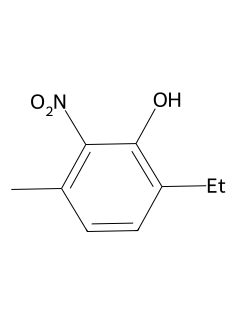 CCc1ccc(C)c([N+](=O)[O-])c1O